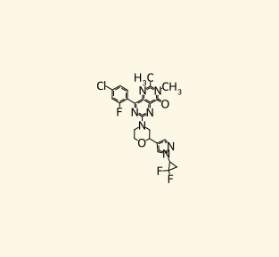 Cc1nc2c(-c3ccc(Cl)cc3F)nc(N3CCOC(c4cnn(C5CC5(F)F)c4)C3)nc2c(=O)n1C